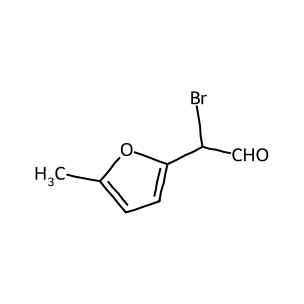 Cc1ccc(C(Br)C=O)o1